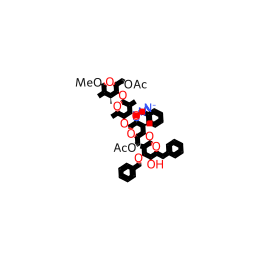 CO[C@@H]1OC(COC(C)=O)[C@@H](O[C@@H]2OC(C)[C@H](O[C@@H]3OC(COC(C)=O)[C@@H](O[C@@H]4OC(Cc5ccccc5)[C@@H](O)[C@@H](OCc5ccccc5)C4C)[C@H](C)C3N=[N+]=[N-])[C@@H](OCc3ccccc3)C2C)[C@H](C)C1C